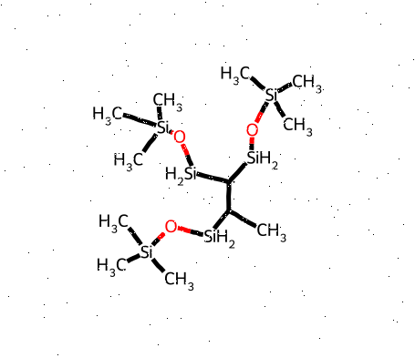 CC([SiH2]O[Si](C)(C)C)[C]([SiH2]O[Si](C)(C)C)[SiH2]O[Si](C)(C)C